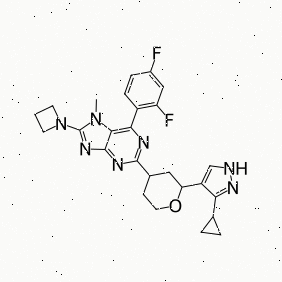 Cn1c(N2CCC2)nc2nc(C3CCOC(c4c[nH]nc4C4CC4)C3)nc(-c3ccc(F)cc3F)c21